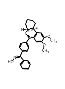 COc1cc2c(cc1OC)[C@H]1CCCC[C@H]1N=C2c1ccc(/C(=N/O)c2ccccc2)cc1